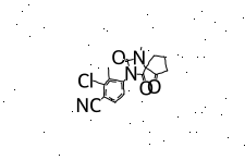 Cc1c(N2C(=O)N(C)C3(CCCC3=O)C2=O)ccc(C#N)c1Cl